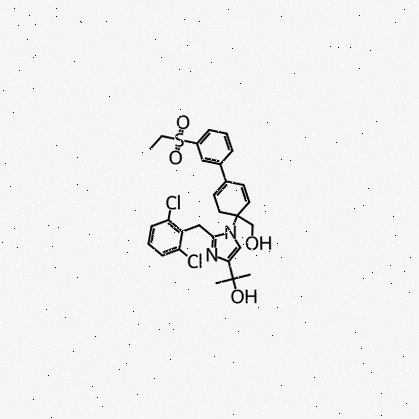 CCS(=O)(=O)c1cccc(C2=CCC(CO)(n3cc(C(C)(C)O)nc3Cc3c(Cl)cccc3Cl)C=C2)c1